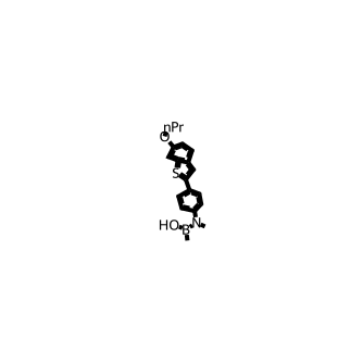 CCCOc1ccc2cc(-c3ccc(N(C)B(C)O)cc3)sc2c1